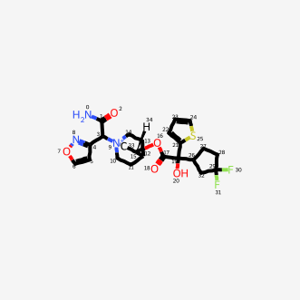 NC(=O)C(c1ccon1)[N+]12CCC(CC1)[C@@H](OC(=O)C(O)(c1cccs1)C1CCC(F)(F)C1)C2